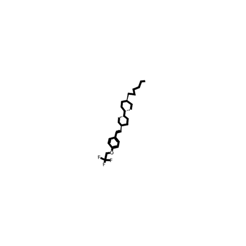 CCCCCC[C@H]1CC[C@H]([C@H]2CC[C@H](C=Cc3ccc(OCC(F)(F)F)cc3)CC2)CC1